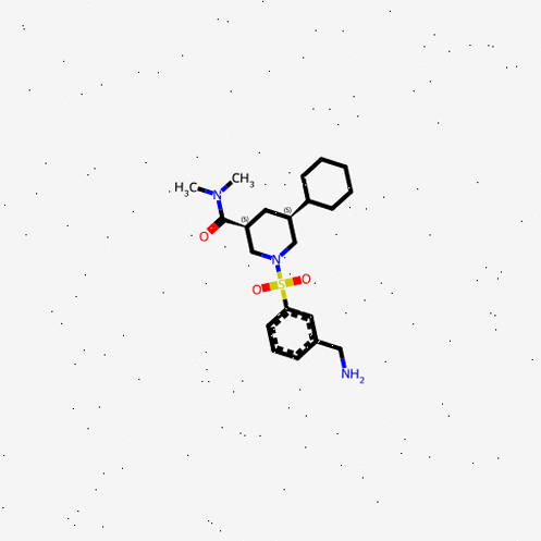 CN(C)C(=O)[C@H]1C[C@@H](C2CCCCC2)CN(S(=O)(=O)c2cccc(CN)c2)C1